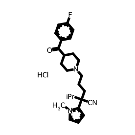 CC(C)C(C#N)(CCCN1CCC(C(=O)c2ccc(F)cc2)CC1)c1cccn1C.Cl